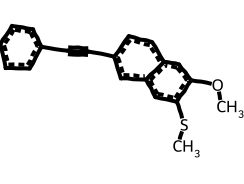 COc1cc2ccc(C#Cc3ccccc3)cc2cc1SC